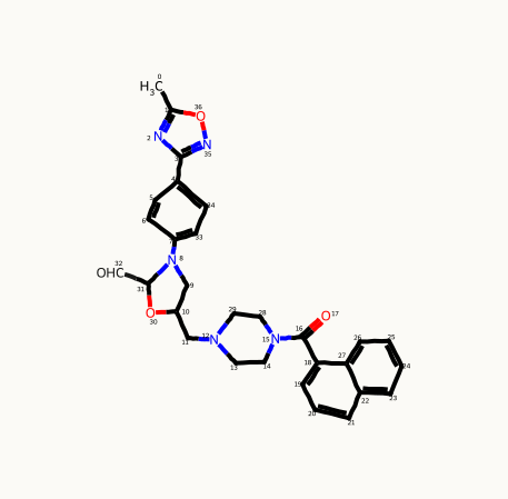 Cc1nc(-c2ccc(N3CC(CN4CCN(C(=O)c5cccc6ccccc56)CC4)OC3C=O)cc2)no1